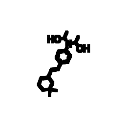 CC(O)N(c1ccc(C=CC2=CCCC(C)(C)C2)cc1)C(C)O